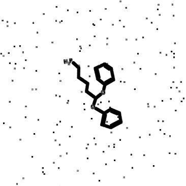 PCCCCC(Oc1ccccc1)Oc1ccccc1